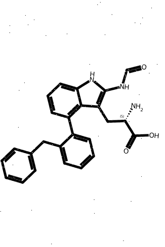 N[C@@H](Cc1c(NC=O)[nH]c2cccc(-c3ccccc3Cc3ccccc3)c12)C(=O)O